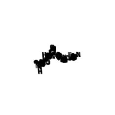 CCc1n[nH]c2ccc(NC(=O)c3ccc4c(c3)nc(CN3CC=C(c5cccc(OCc6ccc(C#N)cc6F)n5)CC3)n4C[C@@H]3CCO3)cc12